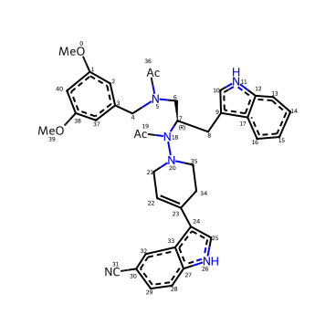 COc1cc(CN(C[C@@H](Cc2c[nH]c3ccccc23)N(C(C)=O)N2CC=C(c3c[nH]c4ccc(C#N)cc34)CC2)C(C)=O)cc(OC)c1